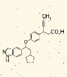 CC#CC(CC(=O)O)c1ccc(OC(CC2CCCC2)c2ccc3[nH]ncc3c2)cc1